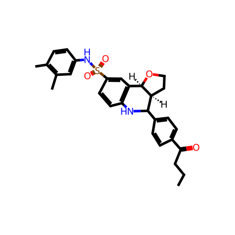 CCCC(=O)c1ccc(C2Nc3ccc(S(=O)(=O)Nc4ccc(C)c(C)c4)cc3[C@H]3OCC[C@@H]23)cc1